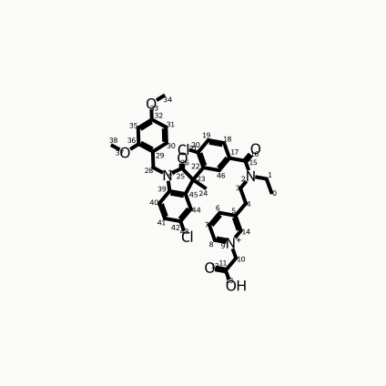 CCN(CCc1ccc[n+](CC(=O)O)c1)C(=O)c1ccc(Cl)c(C2(C)C(=O)N(Cc3ccc(OC)cc3OC)c3ccc(Cl)cc32)c1